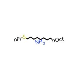 N.[CH2]CCSCCCCCCCCCCCCCCCC